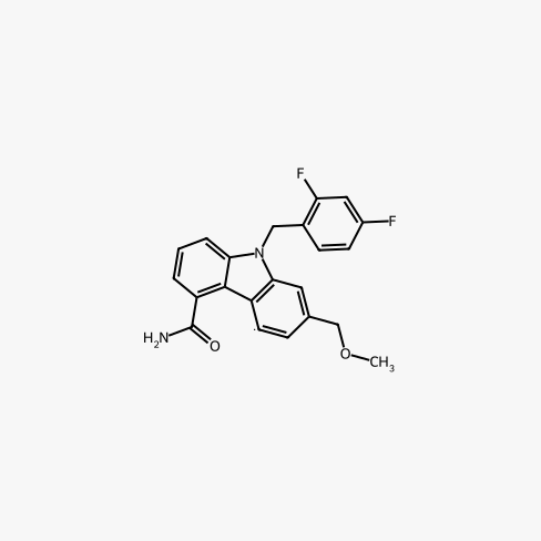 COCc1c[c]c2c3c(C(N)=O)cccc3n(Cc3ccc(F)cc3F)c2c1